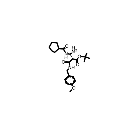 COc1ccc(CNC(=O)[C@@H](C(=O)OC(C)(C)C)C(N)NC(=O)C2CCCCC2)cc1